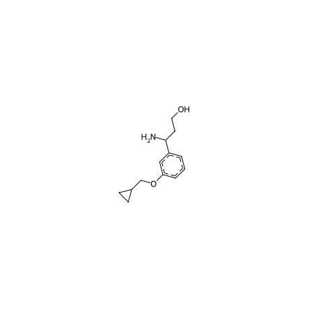 NC(CCO)c1cccc(OCC2CC2)c1